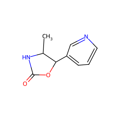 CC1NC(=O)OC1c1cccnc1